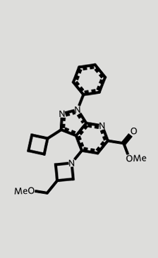 COCC1CN(c2cc(C(=O)OC)nc3c2c(C2CCC2)nn3-c2ccccc2)C1